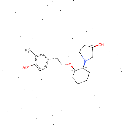 Cc1cc(CCO[C@@H]2CCCC[C@@H]2N2CC[C@@H](O)C2)ccc1O